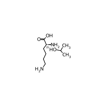 CC(C)O.NCCCC[C@H](N)C(=O)O